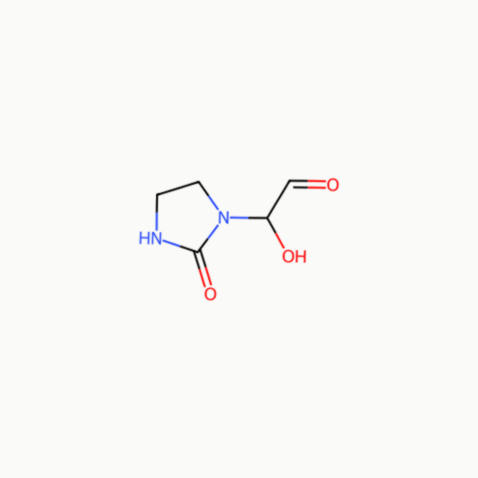 O=CC(O)N1CCNC1=O